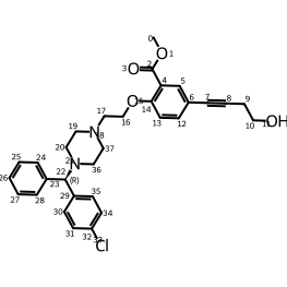 COC(=O)c1cc(C#CCCO)ccc1OCCN1CCN([C@H](c2ccccc2)c2ccc(Cl)cc2)CC1